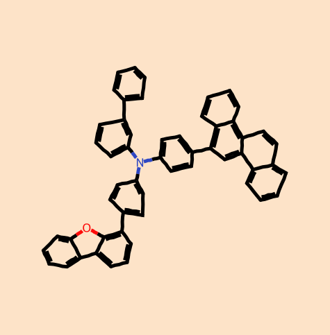 c1ccc(-c2cccc(N(c3ccc(-c4cc5c6ccccc6ccc5c5ccccc45)cc3)c3ccc(-c4cccc5c4oc4ccccc45)cc3)c2)cc1